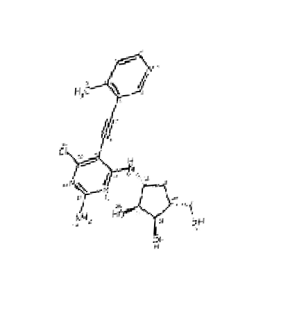 Cc1ccncc1C#Cc1c(Cl)nc(N)nc1N[C@@H]1C[C@H](CO)[C@@H](O)[C@H]1O